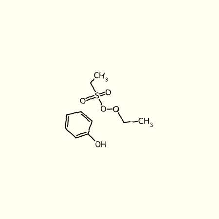 CCOOS(=O)(=O)CC.Oc1ccccc1